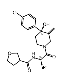 C=C1CN(C(=O)[C@H](NC(=O)C2CCOC2)C(C)C)CC[C@]1(O)c1ccc(Cl)cc1